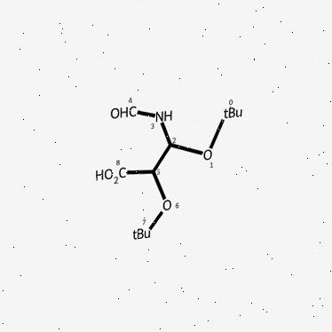 CC(C)(C)OC(NC=O)C(OC(C)(C)C)C(=O)O